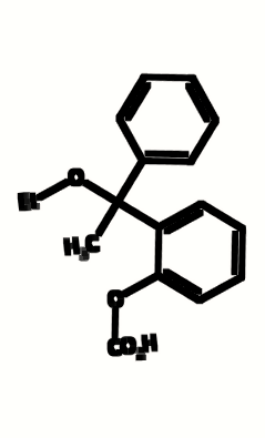 CCOC(C)(c1ccccc1)c1ccccc1OC(=O)O